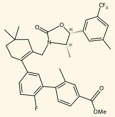 COC(=O)c1ccc(-c2cc(C3=C(CN4C(=O)O[C@H](c5cc(C)cc(C(F)(F)F)c5)[C@@H]4C)CC(C)(C)CC3)ccc2F)c(C)c1